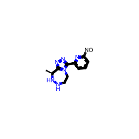 C[C@@H]1NNCCn2c(-c3cccc(N=O)n3)nnc21